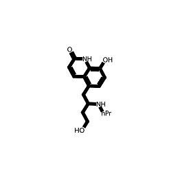 CCCNC(CCO)Cc1ccc(O)c2[nH]c(=O)ccc12